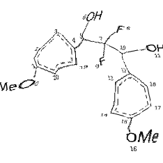 COc1ccc(C(O)C(F)(F)C(O)c2ccc(OC)cc2)cc1